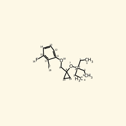 CC[Si](CC)(CC)OC1(COc2cccc(F)c2F)CC1